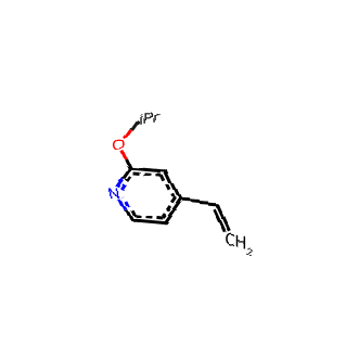 C=Cc1ccnc(OC(C)C)c1